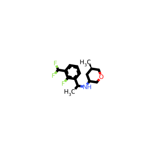 CC(N[C]1COC[C@H](C)C1)c1cccc(C(F)F)c1F